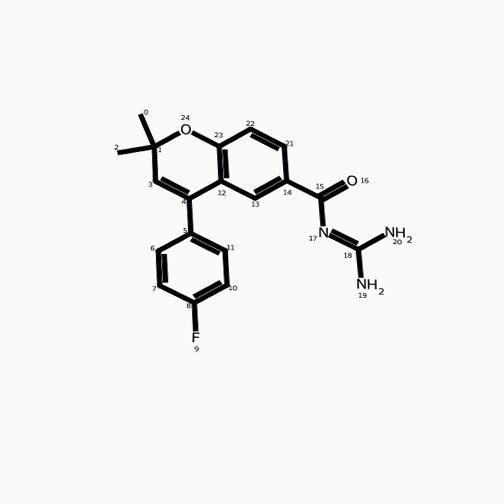 CC1(C)C=C(c2ccc(F)cc2)c2cc(C(=O)N=C(N)N)ccc2O1